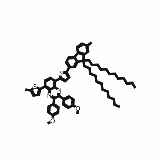 CCCCCCCCCCCCC1(CCCCCCCCCCCC)c2cc(C)ccc2-c2ccc(-c3ccc(-c4ccc(-c5ccc(C)s5)c5nc(-c6ccc(OC)cc6)c(-c6ccc(OC)cc6)nc45)s3)cc21